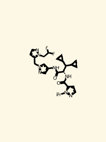 CC(C)n1nccc1C(=O)N[C@H](C(=O)Nc1cnn(Cc2ccnn2CC(F)F)c1)C(C1CC1)C1CC1